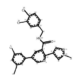 Cc1cc(Cl)cc(-c2cnc(-c3cnn(C)c3)c(C(=O)NCc3ccc(Cl)c(Cl)c3)c2)c1